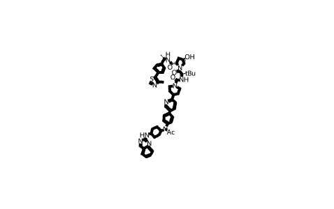 CC(=O)N(c1ccc(-c2ccc(C3CCN(C(=O)N[C@H](C(=O)N4C[C@H](O)C[C@H]4C(=O)N[C@@H](C)c4ccc(-c5scnc5C)cc4)C(C)(C)C)CC3)nc2)cc1)C1CCC(Nc2ncc3ccccc3n2)CC1